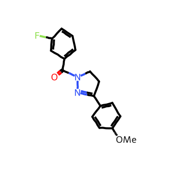 COc1ccc(C2=NN(C(=O)c3cccc(F)c3)CC2)cc1